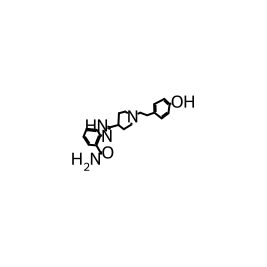 NC(=O)c1cccc2[nH]c(C3CCN(CCc4ccc(O)cc4)CC3)nc12